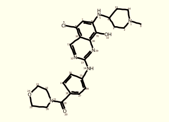 CN1CCC(Nc2cc(Cl)c3cnc(Nc4ccc(C(=O)N5CCOCC5)cc4)nc3c2O)CC1